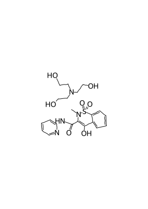 CN1C(C(=O)Nc2ccccn2)=C(O)c2ccccc2S1(=O)=O.OCCN(CCO)CCO